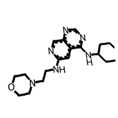 c1nc(NC2CCCCC2)c2cc(NCCN3CCOCC3)ncc2n1